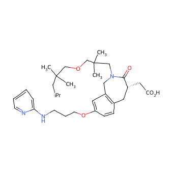 CC(C)CC(C)(C)COCC(C)(C)CN1Cc2cc(OCCCNc3ccccn3)ccc2C[C@@H](CC(=O)O)C1=O